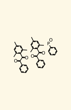 Cc1cc(C)c(C(=O)C(=O)c2ccccc2)c(C)c1.Cc1cc(C)c(C(=O)C(=O)c2ccccc2)c(C)c1.O=Pc1ccccc1